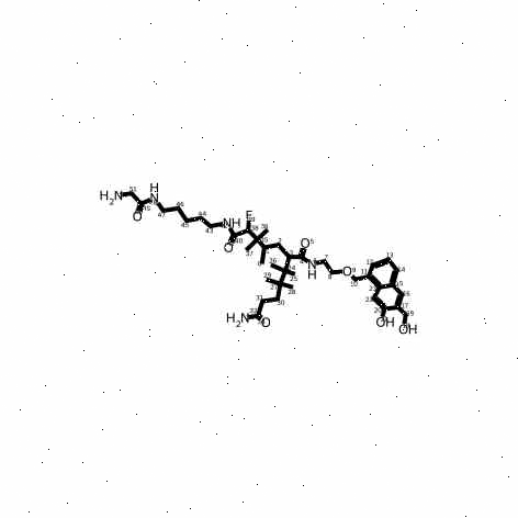 CC(CC(C(=O)NCCOCc1cccc2cc(CO)c(O)cc12)C(C)(C)C(C)(C)CCC(N)=O)C(C)(C)C(F)C(=O)NCCCCCNC(=O)CN